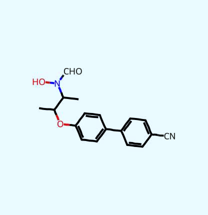 CC(Oc1ccc(-c2ccc(C#N)cc2)cc1)C(C)N(O)C=O